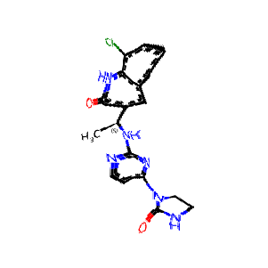 C[C@H](Nc1nccc(N2CCNC2=O)n1)c1cc2cccc(Cl)c2[nH]c1=O